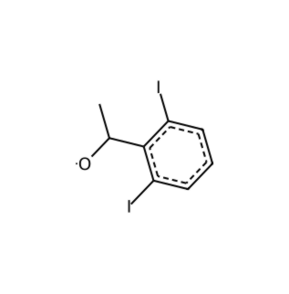 CC([O])c1c(I)cccc1I